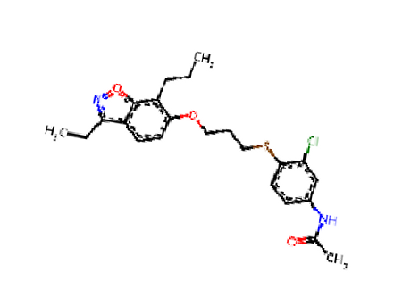 CCCc1c(OCCCSc2ccc(NC(C)=O)cc2Cl)ccc2c(CC)noc12